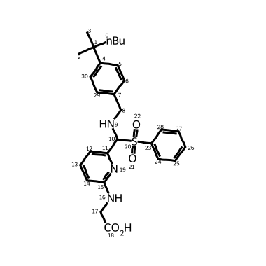 CCCCC(C)(C)c1ccc(CNC(c2cccc(NCC(=O)O)n2)S(=O)(=O)c2ccccc2)cc1